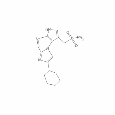 NS(=O)(=O)Cc1c[nH]c2ncc3nc(C4CCCCC4)cn3c12